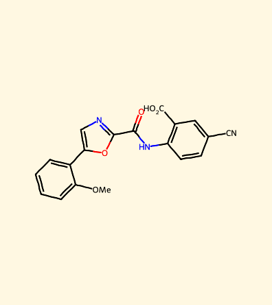 COc1ccccc1-c1cnc(C(=O)Nc2ccc(C#N)cc2C(=O)O)o1